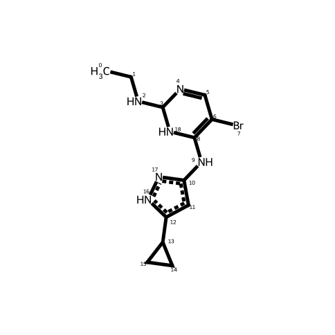 CCNC1N=CC(Br)=C(Nc2cc(C3CC3)[nH]n2)N1